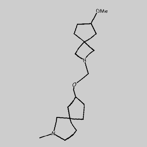 COC1CCC2(C1)CN(COC1CCC3(CCN(C)C3)C1)C2